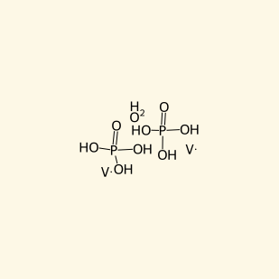 O.O=P(O)(O)O.O=P(O)(O)O.[V].[V]